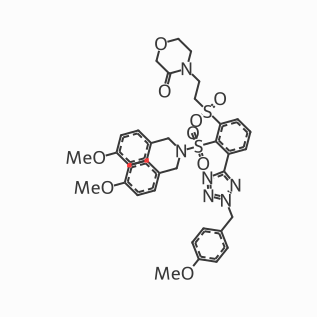 COc1ccc(CN(Cc2ccc(OC)cc2)S(=O)(=O)c2c(-c3nnn(Cc4ccc(OC)cc4)n3)cccc2S(=O)(=O)CCN2CCOCC2=O)cc1